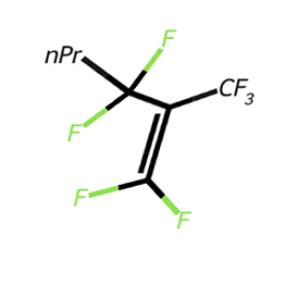 CCCC(F)(F)C(=C(F)F)C(F)(F)F